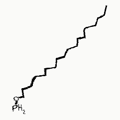 CCCCCCCCCCCCCCCCCCOP